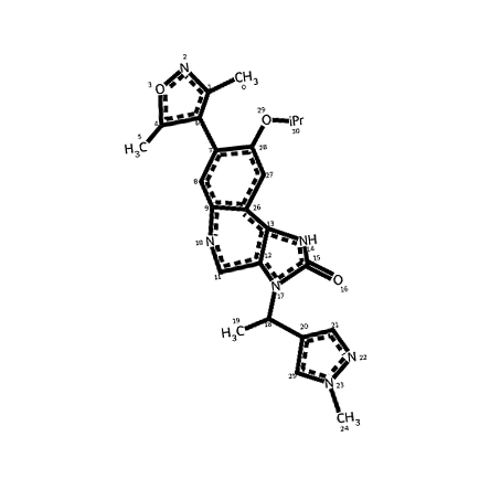 Cc1noc(C)c1-c1cc2ncc3c([nH]c(=O)n3C(C)c3cnn(C)c3)c2cc1OC(C)C